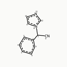 N#CC(c1ccccc1)n1ccnc1